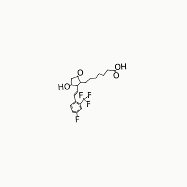 O=C(O)CCCCCCC1C(=O)CC(O)C1/C=C/c1ccc(F)cc1C(F)(F)F